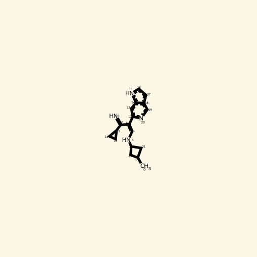 CC1CC(N/C=C(\C(=N)C2CC2)c2cc3[nH]ccc3cn2)C1